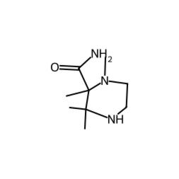 CN1CCNC(C)(C)C1(C)C(N)=O